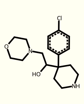 OC(CN1CCOCC1)C1(c2ccc(Cl)cc2)CCNCC1